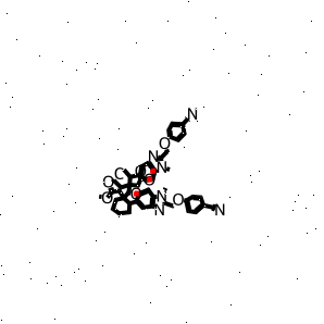 COC(=O)CC1(C(=O)C2(CC(=O)OC)CCCCC2c2ccc3c(c2)nc(COc2ccc(C#N)cc2)n3C)CCCCC1c1ccc2c(c1)nc(COc1ccc(C#N)cc1)n2C